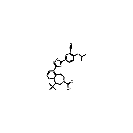 CC(C)Oc1ccc(-c2nc(-c3cccc4c3CCN(C(=O)O)CC4C(C)(C)C)no2)cc1C#N